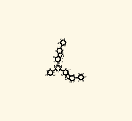 c1ccc(-c2ccc3c(c2)oc2cc(-c4nc(-c5ccccc5)nc(-c5ccc6c(c5)oc5ccc(-c7ccccc7)cc56)n4)ccc23)cc1